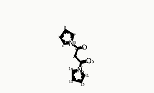 O=C(CC(=O)n1cccc1)n1cccc1